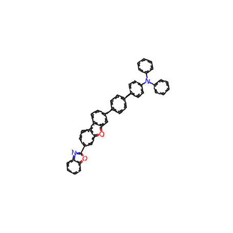 c1ccc(N(c2ccccc2)c2ccc(-c3ccc(-c4ccc5c(c4)oc4cc(-c6nc7ccccc7o6)ccc45)cc3)cc2)cc1